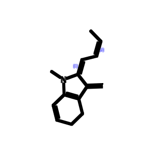 C=c1c2c(n(C)/c1=C/C=C\C)C=CCC2